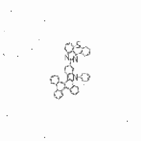 c1ccc(-n2c3cc(-c4nc5c6c(cccc6n4)Sc4ccccc4-5)ccc3c3c4c5ccccc5c5ccccc5c4c4ccccc4c32)cc1